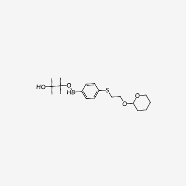 CC(C)(O)C(C)(C)OBc1ccc(SCCOC2CCCCO2)cc1